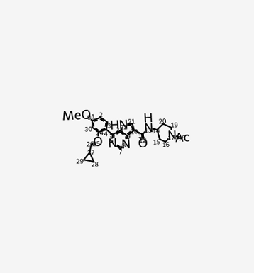 COc1ccc(-c2ncnc3c(C(=O)NC4CCN(C(C)=O)CC4)c[nH]c23)c(OCC2CC2)c1